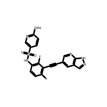 COc1ccc(S(=O)(=O)Nc2ccc(F)c(C#Cc3cnc4[nH]ncc4c3)c2F)cn1